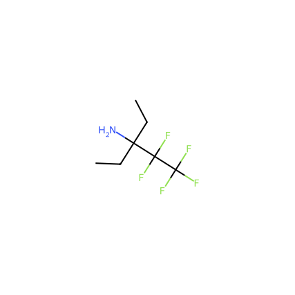 CCC(N)(CC)C(F)(F)C(F)(F)F